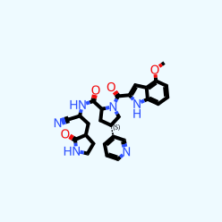 COc1cccc2[nH]c(C(=O)N3C[C@H](c4cccnc4)CC3C(=O)NC(C#N)CC3CCNC3=O)cc12